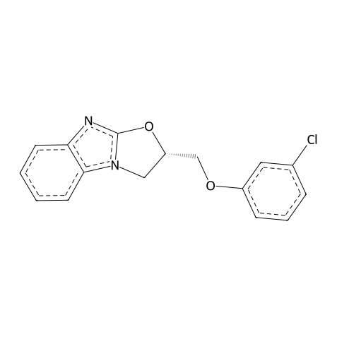 Clc1cccc(OC[C@@H]2Cn3c(nc4ccccc43)O2)c1